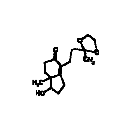 CC1(CCC2=C3CCC(O)C3(C)CCC2=O)OCCO1